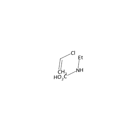 C=CCl.CCNC(=O)O